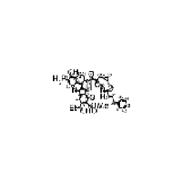 CCC(C=O)C1=C(COC)C(=O)C2Cc3c(nc4cc(P)c(C)c5c4c3C(NC(=O)C(CC3CC3)OCNC(=O)CCCc3ccccc3)CC5)C2=C1